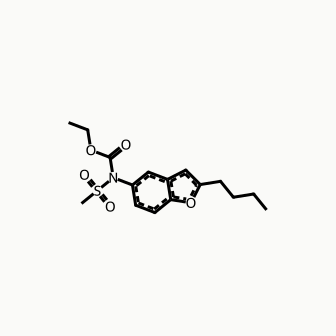 CCCCc1cc2cc(N(C(=O)OCC)S(C)(=O)=O)ccc2o1